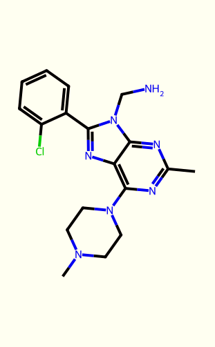 Cc1nc(N2CCN(C)CC2)c2nc(-c3ccccc3Cl)n(CN)c2n1